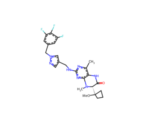 COC1([C@H]2C(=O)Nc3c(C)nc(NCc4cnn(Cc5cc(F)c(F)c(F)c5)c4)nc3N2C)CCC1